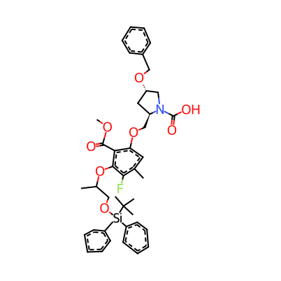 COC(=O)c1c(OC[C@H]2C[C@H](OCc3ccccc3)CN2C(=O)O)cc(C)c(F)c1OC(C)CO[Si](c1ccccc1)(c1ccccc1)C(C)(C)C